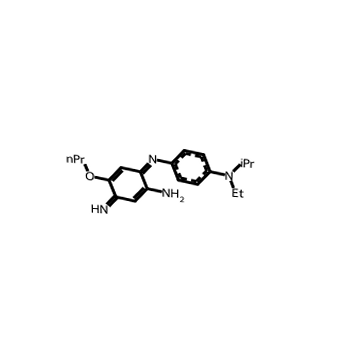 CCCOC1=CC(=Nc2ccc(N(CC)C(C)C)cc2)C(N)=CC1=N